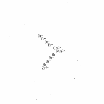 [Br-].[Br-].[Br-].[Br-].[Br-].[Br-].[Br-].[Br-].[Co+2].[Mn+2].[Zr+4]